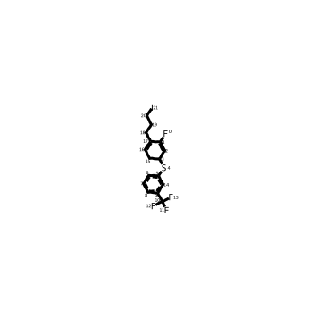 FC1=CC(Sc2cccc(C(F)(F)F)c2)CC=C1CCCI